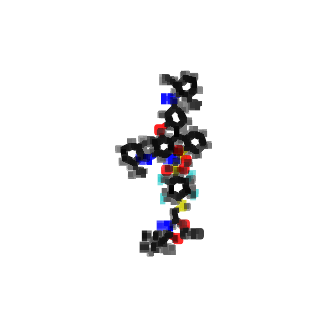 CCC(C)(C)C(=O)NC(CSc1c(F)c(F)c(S(=O)(=O)NS(=O)(=O)c2ccccc2C2=C3C=CC(Nc4c(C(C)C)cccc4C(C)C)C=C3Oc3cc(Nc4c(C(C)C)cccc4C(C)C)ccc32)c(F)c1F)OC=O